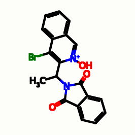 CC(c1c(Br)c2ccccc2c[n+]1O)N1C(=O)c2ccccc2C1=O